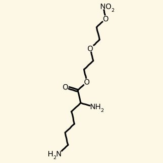 NCCCCC(N)C(=O)OCCOCCO[N+](=O)[O-]